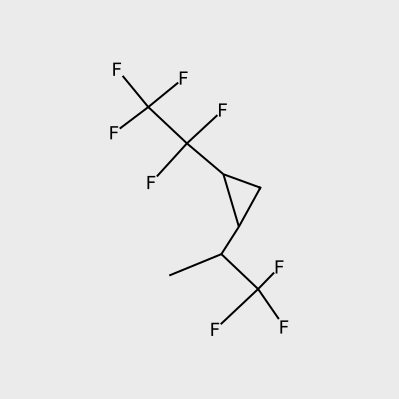 CC(C1CC1C(F)(F)C(F)(F)F)C(F)(F)F